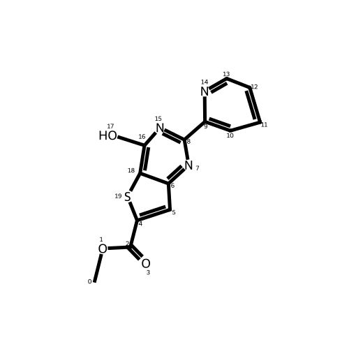 COC(=O)c1cc2nc(-c3ccccn3)nc(O)c2s1